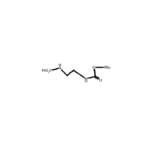 CCOC(=O)NC[CH]NC(=O)OC(C)(C)C